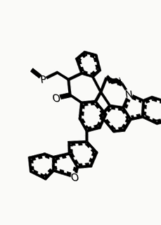 C=PCC1C(=O)c2cc(-c3ccc4oc5ccccc5c4c3)ccc2C2(c3ccccc31)c1ccccc1-n1c3ccccc3c3cccc2c31